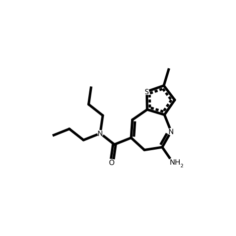 CCCN(CCC)C(=O)C1=Cc2sc(C)cc2N=C(N)C1